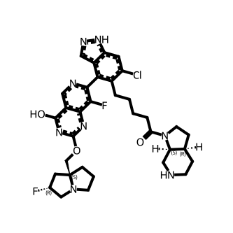 O=C(CCCCc1c(Cl)cc2[nH]ncc2c1-c1ncc2c(O)nc(OC[C@@]34CCCN3C[C@H](F)C4)nc2c1F)N1CC[C@H]2CCNC[C@H]21